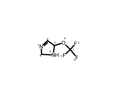 FC(F)(F)O[C]1C=NCN1